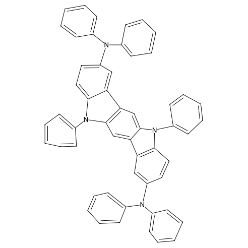 c1ccc(N(c2ccccc2)c2ccc3c(c2)c2cc4c(cc2n3-c2ccccc2)c2cc(N(c3ccccc3)c3ccccc3)ccc2n4-c2ccccc2)cc1